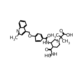 Cc1cc(COc2ccc(C(=O)NC3CN(C(C)(C)C(=O)O)CCC3C(=O)NO)cc2)c2ccccc2n1